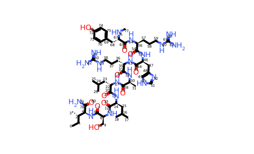 CC[C@H](C)[C@H](NC(=O)[C@H](CO)NC(=O)[C@H](CC(C)C)NC(=O)[C@H](CC(C)C)NC(=O)[C@H](C)NC(=O)[C@H](CCCNC(=N)N)NC(=O)[C@H](Cc1c[nH]cn1)NC(=O)[C@H](CCCNC(=N)N)NC(=O)[C@H](Cc1ccc(O)cc1)NC)C(N)=O